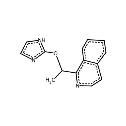 CC(Oc1ncc[nH]1)c1nccc2ccccc12